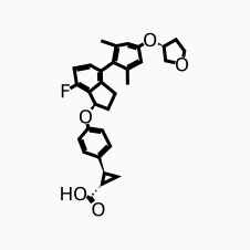 Cc1cc(O[C@@H]2CCOC2)cc(C)c1-c1ccc(F)c2c1CC[C@H]2Oc1ccc([C@H]2C[C@@H]2C(=O)O)cc1